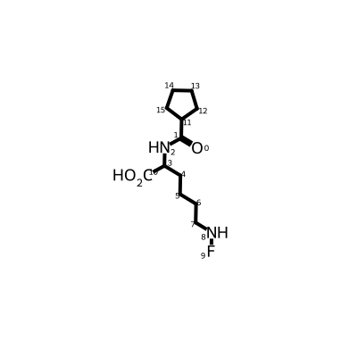 O=C(NC(CCCCNF)C(=O)O)C1CCCC1